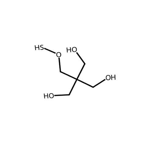 OCC(CO)(CO)COS